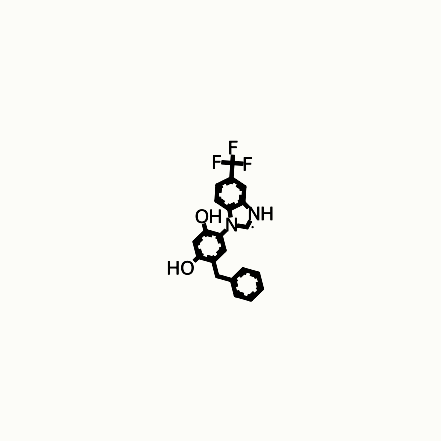 Oc1cc(O)c(N2[CH]Nc3cc(C(F)(F)F)ccc32)cc1Cc1ccccc1